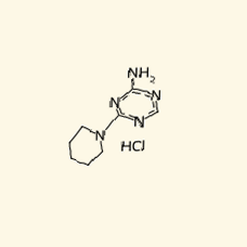 Cl.Nc1ncnc(N2CCCCC2)n1